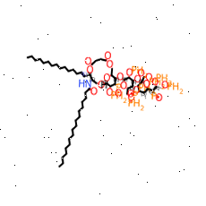 CCCCCCCCCCCCC/C=C/[C@H]1OC(=O)CCC(=O)OCC2O[C@@H](OC[C@@H]1NC(=O)CCCCCCCCCCCCCCCCC)C(OP)C(P=O)[C@@H]2O[C@@H]1OC(COP)[C@H](OP)[C@H](O[C@]2(C(=O)OP)CC(P=O)[C@@H](C)[C@H]([C@H](P=O)[C@@H](COP)OP)O2)C1OP